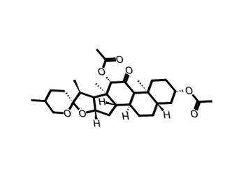 CC(=O)O[C@H]1CC[C@]2(C)C3C(=O)[C@@H](OC(C)=O)[C@]4(C)C5[C@H](C[C@H]4[C@@H]3CC[C@H]2C1)O[C@]1(CCC(C)CO1)[C@H]5C